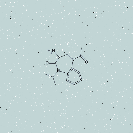 CC(=O)N1CC(N)C(=O)N(C(C)C)c2ccccc21